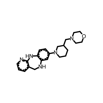 c1cnc2c(c1)CNc1cc(N3CCCC(CN4CCOCC4)C3)ccc1N2